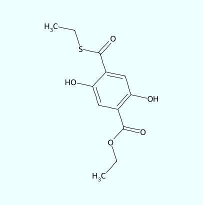 CCOC(=O)c1cc(O)c(C(=O)SCC)cc1O